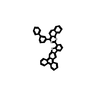 c1ccc(-c2cccc(-c3nc(-c4cccc5c4sc4cc6c7ccccc7c7ccccc7c6cc45)nc4c3ccc3ccccc34)c2)cc1